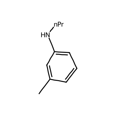 CCCNc1cccc(C)c1